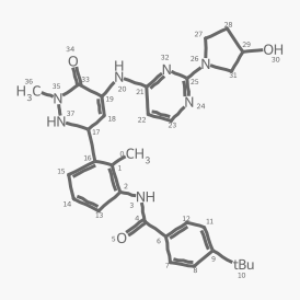 Cc1c(NC(=O)c2ccc(C(C)(C)C)cc2)cccc1C1C=C(Nc2ccnc(N3CCC(O)C3)n2)C(=O)N(C)N1